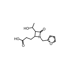 CC(O)C1C(=O)N(Cc2ccco2)C1CCC(=O)O